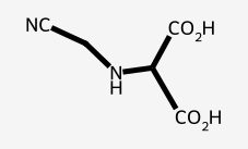 N#CCNC(C(=O)O)C(=O)O